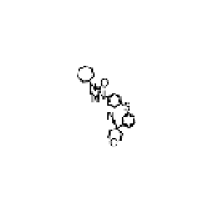 N#CC1(c2cccc(Sc3ccc(-n4ncn(C5CCCCCC5)c4=O)cc3)c2)CCOCC1